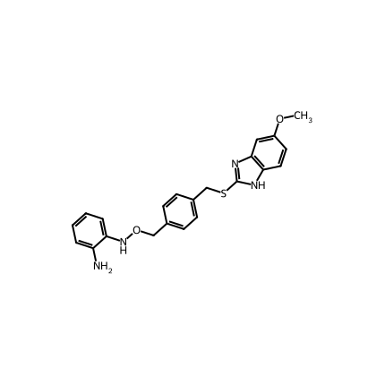 COc1ccc2[nH]c(SCc3ccc(CONc4ccccc4N)cc3)nc2c1